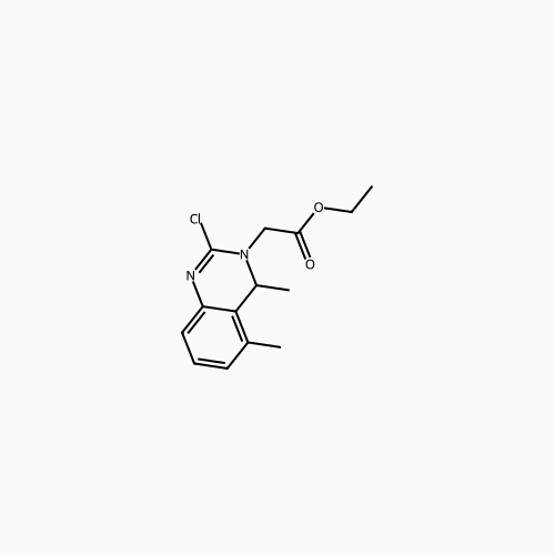 CCOC(=O)CN1C(Cl)=Nc2cccc(C)c2C1C